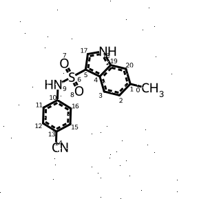 Cc1ccc2c(S(=O)(=O)Nc3ccc(C#N)cc3)c[nH]c2c1